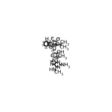 CNc1nc(N)nc2c1ncn2[C@@H]1O[C@H](CO[P@@](=S)(N[C@H](C)C(=O)OC(C)C)Oc2ccccc2)[C@@H](O)[C@@]1(C)F